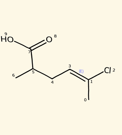 C/C(Cl)=C\CC(C)C(=O)O